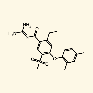 CCc1cc(Oc2ccc(C)cc2C)c(S(C)(=O)=O)cc1C(=O)N=C(N)N